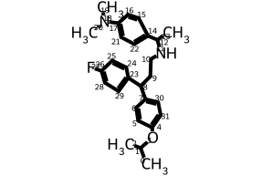 CC(C)Oc1ccc(C(CCNC(C)c2ccc(N(C)C)cc2)c2ccc(F)cc2)cc1